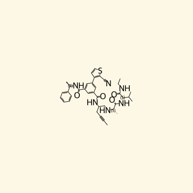 CC#CCC(CN[C@@H](C)C(=O)N[C@H](C(=O)NCC)C(C)C)NC(=O)c1cc(C(=O)N[C@H](C)c2ccccc2)cc(-c2ccsc2C#N)c1